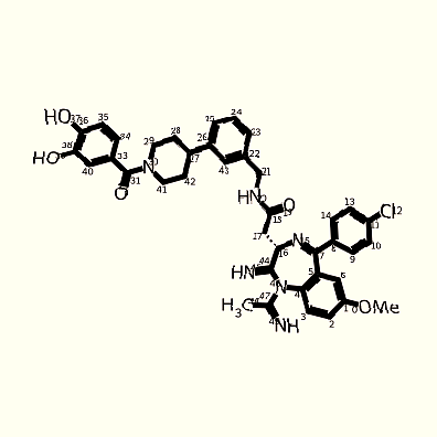 COc1ccc2c(c1)C(c1ccc(Cl)cc1)=N[C@@H](CC(=O)NCc1cccc(C3CCN(C(=O)c4ccc(O)c(O)c4)CC3)c1)C(=N)N2C(C)=N